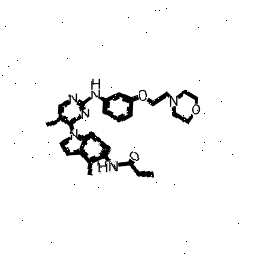 C=CC(=O)Nc1ccc2c(ccn2-c2nc(Nc3cccc(OCCN4CCOCC4)c3)ncc2C)c1C